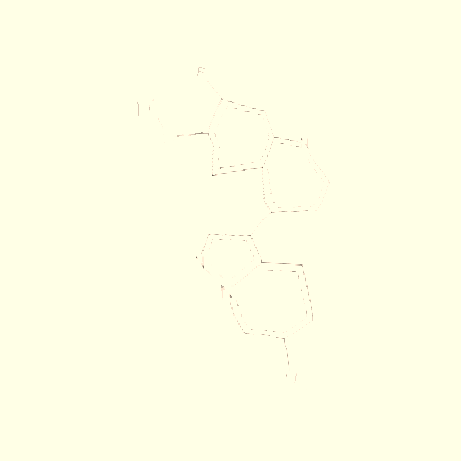 COc1cc2c(-c3cnn4cc(C)ccc34)ccnc2cc1F